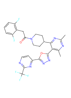 Cc1nc(C)c(-c2nnc(-c3ccnc(C(F)(F)F)n3)o2)c(C2CCN(C(=O)Cc3c(F)cccc3F)CC2)n1